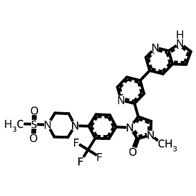 Cn1cc(-c2cc(-c3cnc4[nH]ccc4c3)ccn2)n(-c2ccc(N3CCN(S(C)(=O)=O)CC3)c(C(F)(F)F)c2)c1=O